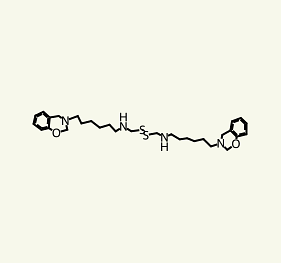 c1ccc2c(c1)CN(CCCCCCNCSSCNCCCCCCN1COc3ccccc3C1)CO2